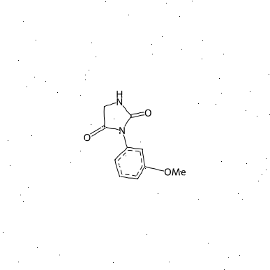 COc1cccc(N2C(=O)CNC2=O)c1